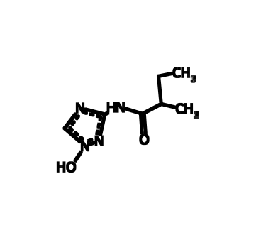 CCC(C)C(=O)Nc1ncn(O)n1